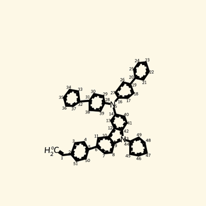 C=Cc1ccc(-c2ccc3c(c2)c2cc(N(c4ccc(-c5ccccc5)cc4)c4ccc(-c5ccccc5)cc4)ccc2n3-c2ccccc2)cc1